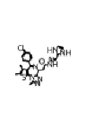 Cc1sc2c(c1C)C(c1ccc(Cl)cc1)=N[C@@H](CC(=O)N/N=C/C1NC=CN1)c1nnc(C)n1-2